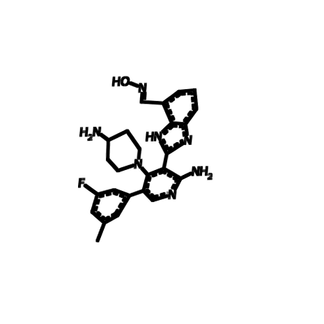 Cc1cc(F)cc(-c2cnc(N)c(-c3nc4cccc(C=NO)c4[nH]3)c2N2CCC(N)CC2)c1